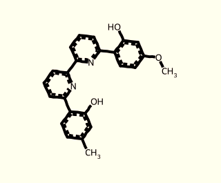 COc1ccc(-c2cccc(-c3cccc(-c4ccc(C)cc4O)n3)n2)c(O)c1